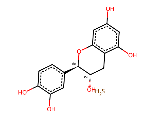 Oc1cc(O)c2c(c1)O[C@H](c1ccc(O)c(O)c1)[C@@H](O)C2.S